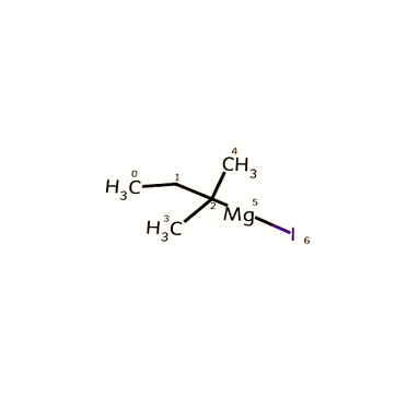 CC[C](C)(C)[Mg][I]